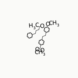 COC(=O)c1ccc(CCc2ccc(OC)c(OC(C)CCCc3ccccc3)c2)cc1